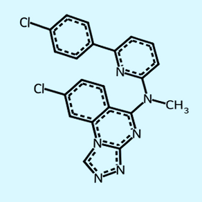 CN(c1cccc(-c2ccc(Cl)cc2)n1)c1nc2nncn2c2cc(Cl)ccc12